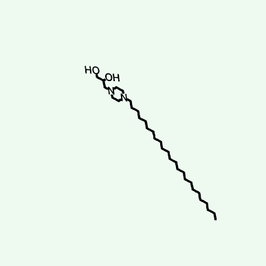 CCCCCCCCCCCCCCCCCCCCCCCCN1CCN(CC(O)CO)CC1